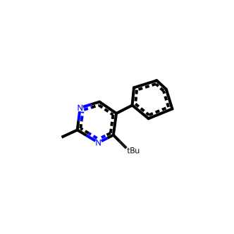 Cc1ncc(-c2ccccc2)c(C(C)(C)C)n1